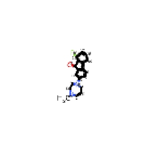 CN1CCCN(c2ccc3c(c2)C(=O)c2c(F)cccc2-3)CC1